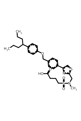 CCCC(CCC)c1ccc(OCc2ccc(-c3csc(CN(C)S(=O)(=O)CCCC(=O)O)n3)cc2)cc1